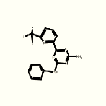 Nc1nc(Nc2ccccc2)nc(-c2cccc(C(F)(F)F)n2)n1